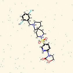 O=C1OCCN1c1ccc(S(=O)(=O)N2CCC3(CCCN(Cc4cc(F)ccc4F)C3)CC2)cn1